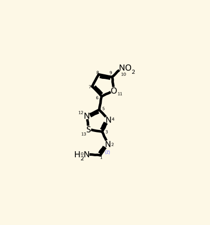 N/C=N\c1nc(-c2ccc([N+](=O)[O-])o2)ns1